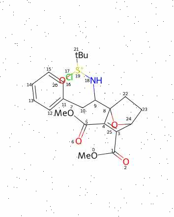 COC(=O)C1=C(C(=O)OC)C2(C(Cc3ccccc3Cl)N[S+]([O-])C(C)(C)C)CCC1O2